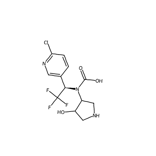 O=C(O)N(C1CNCC1O)[C@H](c1ccc(Cl)nc1)C(F)(F)F